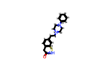 O=C1Cc2ccc(CCN3CCN(c4ccccc4)CC3)cc2SN1